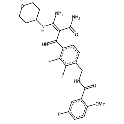 COc1ccc(F)cc1C(=O)NCc1ccc(C(=N)/C(C(N)=O)=C(/N)NC2CCOCC2)c(F)c1F